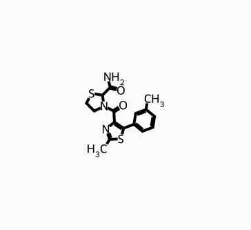 Cc1cccc(-c2sc(C)nc2C(=O)N2CCSC2C(N)=O)c1